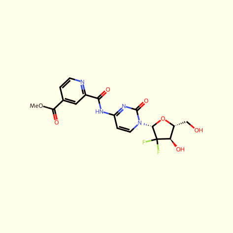 COC(=O)c1ccnc(C(=O)Nc2ccn([C@@H]3O[C@H](CO)[C@@H](O)C3(F)F)c(=O)n2)c1